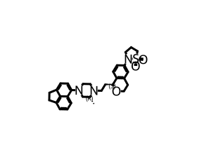 C[C@@H]1CN(c2ccc3c4c(cccc24)CC3)CCN1CC[C@@H]1OCCc2cc(N3CCCS3(=O)=O)ccc21